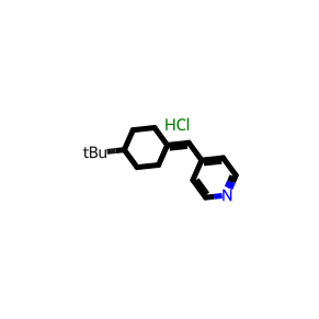 CC(C)(C)C1CCC(=Cc2ccncc2)CC1.Cl